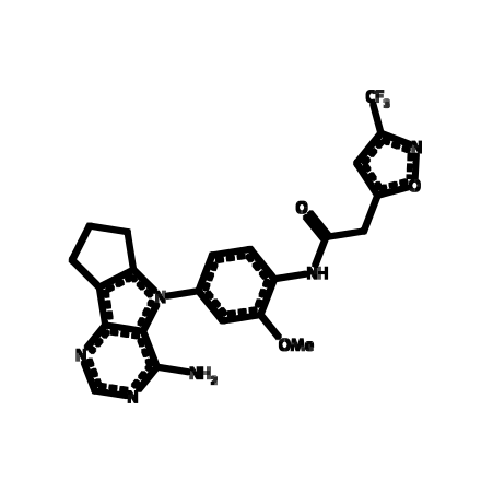 COc1cc(-n2c3c(c4ncnc(N)c42)CCC3)ccc1NC(=O)Cc1cc(C(F)(F)F)no1